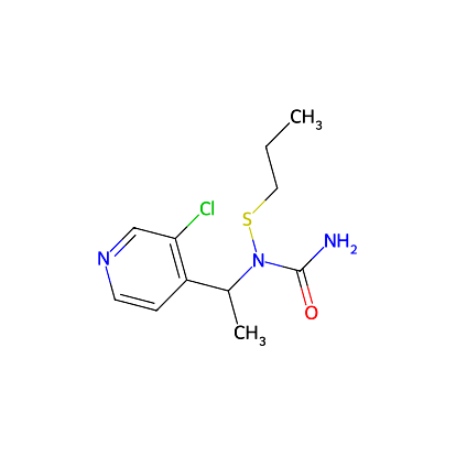 CCCSN(C(N)=O)C(C)c1ccncc1Cl